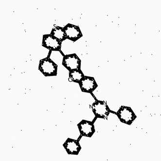 c1ccc(-c2ccc(-c3nc(-c4ccccc4)nc(-c4ccc5c(c4)oc4cc(-c6c(-c7ccccc7)ccc7sc8ccccc8c67)ccc45)n3)cc2)cc1